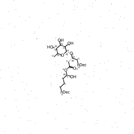 CCCCCCCCCCCCC[C@H](O)OC(=O)C[C@@H](CCCCCCCCCCC)O[C@@H]1OC(C)[C@H](O)C(O)C1O